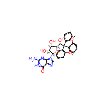 COc1ccccc1C(c1ccccc1)(c1ccccc1OC)C(O)[C@H]1O[C@@H](n2cnc3c(=O)[nH]c(N)nc32)[C@H](O)[C@@H]1O